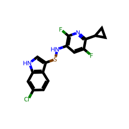 Fc1cc(NSc2c[nH]c3cc(Cl)ccc23)c(F)nc1C1CC1